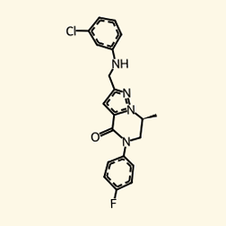 C[C@H]1CN(c2ccc(F)cc2)C(=O)c2cc(CNc3cccc(Cl)c3)nn21